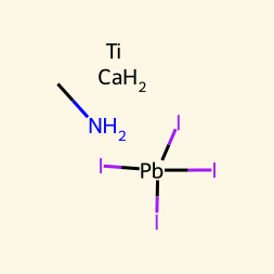 CN.[CaH2].[I][Pb]([I])([I])[I].[Ti]